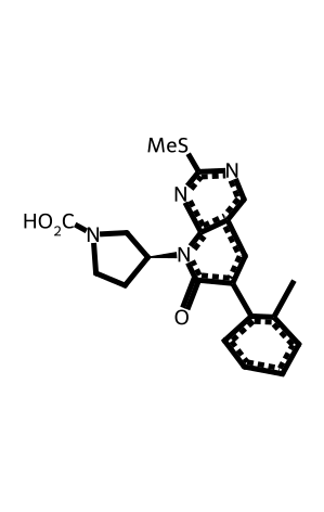 CSc1ncc2cc(-c3ccccc3C)c(=O)n([C@H]3CCN(C(=O)O)C3)c2n1